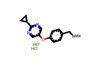 CNCc1ccc(Oc2cnc(C3CC3)nc2)cc1.Cl.Cl